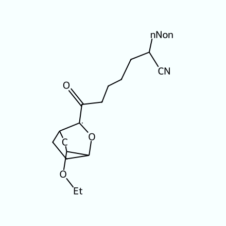 [CH2]CCCCCCCCC(C#N)CCCCC(=O)[C]1OC2CCC1CC2OCC